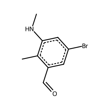 CNc1cc(Br)cc(C=O)c1C